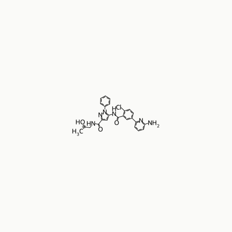 C[C@@H](O)CNC(=O)c1cc(NC(=O)c2cc(-c3cccc(N)n3)ccc2Cl)n(-c2ccccc2)n1